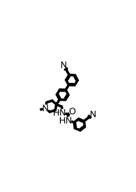 CN1CCC(CNC(=O)Nc2cccc(C#N)c2)(c2ccc(-c3cccc(C#N)c3)cc2)CC1